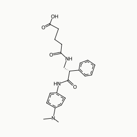 CN(C)c1ccc(NC(=O)[C@H](CNC(=O)CCCC(=O)O)c2ccccc2)cc1